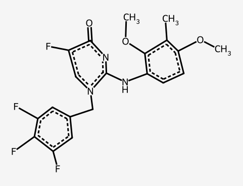 COc1ccc(Nc2nc(=O)c(F)cn2Cc2cc(F)c(F)c(F)c2)c(OC)c1C